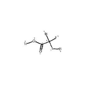 CCOC(=O)C(F)(Br)SCC